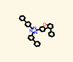 c1ccc(-c2ccc(-c3nc(-c4cccc(-c5ccccc5)c4)nc(-c4ccc5c(c4)oc4cccc(-c6ccccc6)c45)n3)cc2)cc1